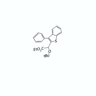 CCOC(=O)C(OC(C)(C)C)c1sc2ccccc2c1-c1ccccc1